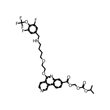 CC(C)OC(=O)OCOC(=O)c1ccc2c(c1)nc(OCCOCCCCNCc1cc(F)c(OC(F)(F)F)c(F)c1)c1ccncc12